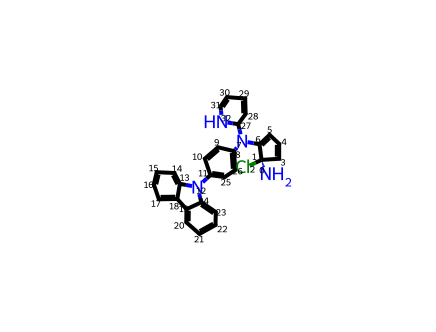 N[C@@]1(Cl)C=CC=C1N(c1ccc(-n2c3ccccc3c3ccccc32)cc1)C1C=CC=CN1